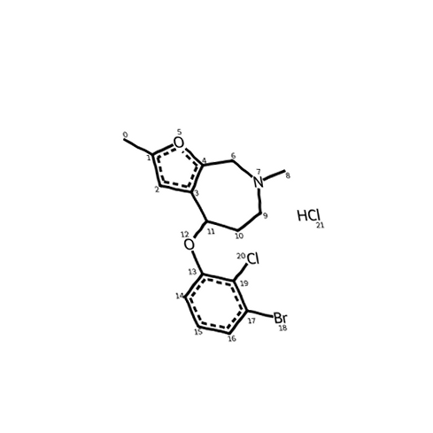 Cc1cc2c(o1)CN(C)CCC2Oc1cccc(Br)c1Cl.Cl